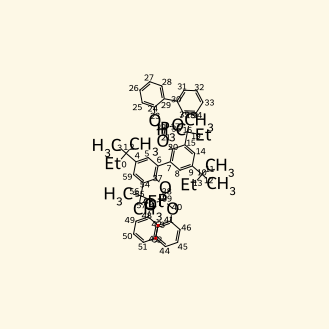 CCC(C)(C)c1cc(-c2cc(C(C)(C)CC)cc(C(C)(C)CC)c2Op2oc3ccccc3c3ccccc3o2)c(OP(Oc2ccccc2)Oc2ccccc2)c(C(C)(C)CC)c1